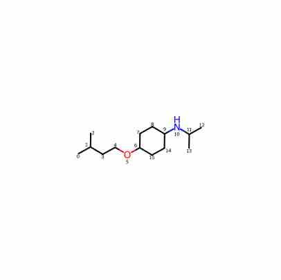 CC(C)CCOC1CCC(NC(C)C)CC1